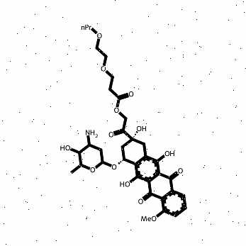 CCCOCCOCCC(=O)OCC(=O)[C@@]1(O)Cc2c(O)c3c(c(O)c2[C@H](OC2CC(N)C(O)C(C)O2)C1)C(=O)c1c(OC)cccc1C3=O